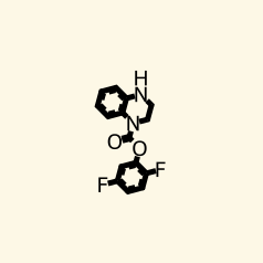 O=C(Oc1cc(F)ccc1F)N1CCNc2ccccc21